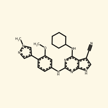 COc1cc(Nc2nc(NC3CCCCC3)c3c(C#N)c[nH]c3n2)ccc1-c1cnn(C)c1